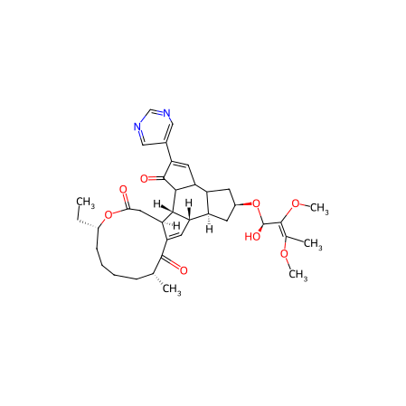 CC[C@H]1CCCC[C@@H](C)C(=O)C2=C[C@@H]3[C@@H](C4C(=O)C(c5cncnc5)=CC4C4C[C@@H](O[C@H](O)/C(OC)=C(/C)OC)C[C@H]43)[C@@H]2CC(=O)O1